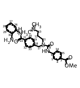 COC(=O)c1ccc(NC(=O)N(CCCN(C)C)Cc2ccc(C(=O)Nc3ccccc3N)cc2)cc1